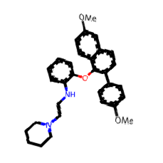 COc1ccc(-c2ccc3cc(OC)ccc3c2Oc2ccccc2NCCN2CCCCC2)cc1